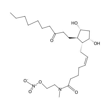 CCCCCCCC(=O)CC[C@@H]1[C@@H](C/C=C\CCCC(=O)N(C)CCO[N+](=O)[O-])[C@@H](O)C[C@H]1O